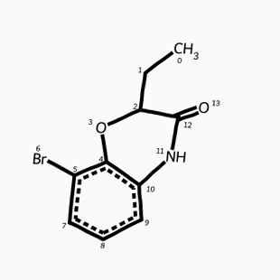 CCC1Oc2c(Br)cccc2NC1=O